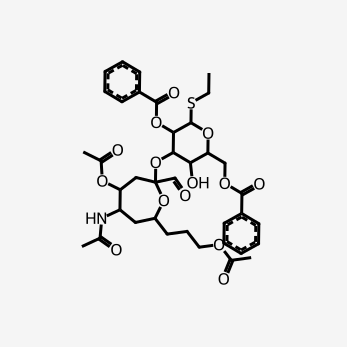 CCSC1OC(COC(=O)c2ccccc2)C(O)C(OC2(C=O)CC(OC(C)=O)C(NC(C)=O)CC(CCCOC(C)=O)O2)C1OC(=O)c1ccccc1